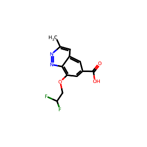 Cc1cc2cc(C(=O)O)cc(OCC(F)F)c2nn1